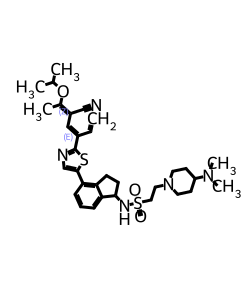 C=C/C(=C\C(C#N)=C(/C)OC(C)C)c1ncc(-c2cccc3c2CCC3NS(=O)(=O)CCN2CCC(N(C)C)CC2)s1